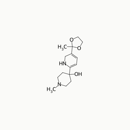 CN1CCC(O)(C2=CC=C(C3(C)OCCO3)CN2)CC1